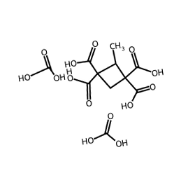 CC1C(C(=O)O)(C(=O)O)CC1(C(=O)O)C(=O)O.O=C(O)O.O=C(O)O